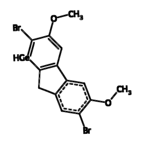 COC1=CC2=[C](Cc3cc(Br)c(OC)cc32)[GeH]=[C]1Br